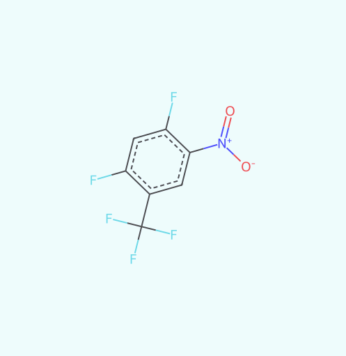 O=[N+]([O-])c1cc(C(F)(F)F)c(F)cc1F